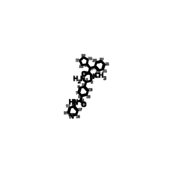 CN(CC(N)c1ccc(C(=O)Nc2ccncc2)cc1)C(=O)C(c1ccccc1)C1CCCC1